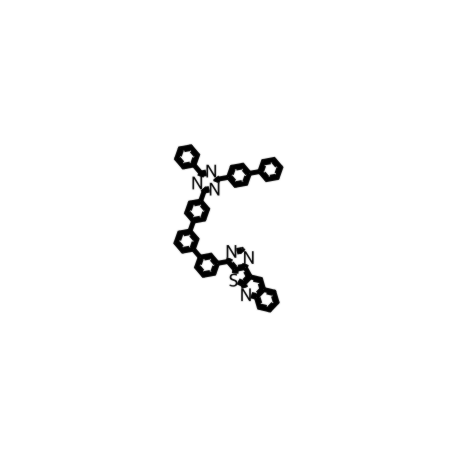 c1ccc(-c2ccc(-c3nc(-c4ccccc4)nc(-c4ccc(-c5cccc(-c6cccc(-c7ncnc8c7sc7nc9ccccc9cc78)c6)c5)cc4)n3)cc2)cc1